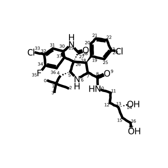 CC(C)(C)C[C@H]1NC(C(=O)NCC[C@H](O)CCO)[C@H](c2cccc(Cl)c2)[C@@]12C(=O)Nc1cc(Cl)c(F)cc12